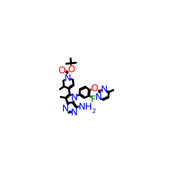 Cc1ccnc(Oc2ccc(-n3c(C4=CCN(C(=O)OC(C)(C)C)CC4C)c(C)c4ncnc(N)c43)cc2F)n1